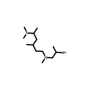 CC(CCN(C)CC(C)C(C)C)CC(C)N(C)C